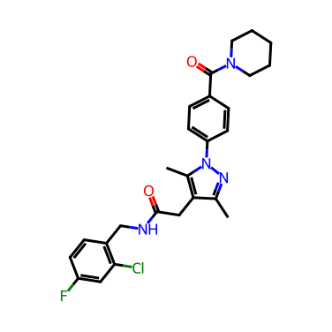 Cc1nn(-c2ccc(C(=O)N3CCCCC3)cc2)c(C)c1CC(=O)NCc1ccc(F)cc1Cl